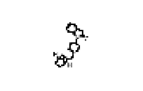 O=C1Cc2ccccc2N1C1CCN(C[C@@H]2C[C@H]3CC[C@@H]2C3)CC1